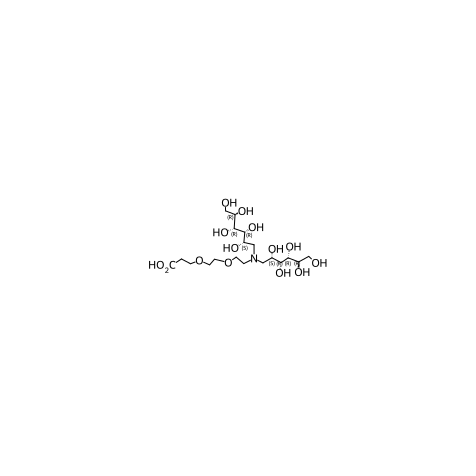 O=C(O)CCOCCOCCN(C[C@H](O)[C@@H](O)[C@H](O)[C@H](O)CO)C[C@H](O)[C@@H](O)[C@H](O)[C@H](O)CO